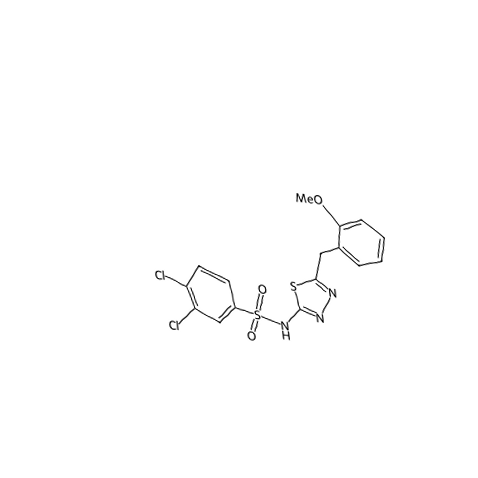 COc1ccccc1Cc1nnc(NS(=O)(=O)c2ccc(Cl)c(Cl)c2)s1